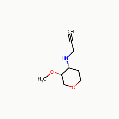 C#CCN[C@@H]1CCOC[C@@H]1OC